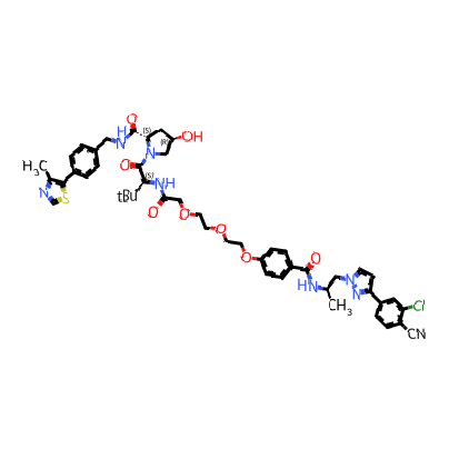 Cc1ncsc1-c1ccc(CNC(=O)[C@@H]2C[C@@H](O)CN2C(=O)[C@@H](NC(=O)COCCOCCOc2ccc(C(=O)NC(C)Cn3ccc(-c4ccc(C#N)c(Cl)c4)n3)cc2)C(C)(C)C)cc1